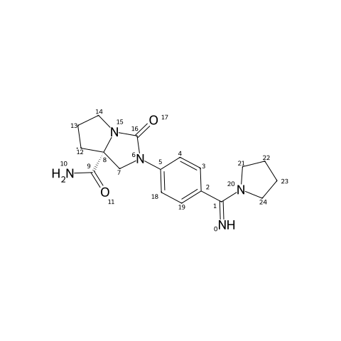 N=C(c1ccc(N2C[C@@]3(C(N)=O)[CH]CCN3C2=O)cc1)N1CCCC1